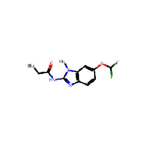 CC(C)(C)CC(=O)Nc1nc2ccc(OC(F)F)cc2n1C(C)(C)C